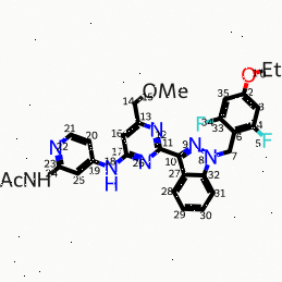 CCOc1cc(F)c(Cn2nc(-c3nc(COC)cc(Nc4ccnc(NC(C)=O)c4)n3)c3ccccc32)c(F)c1